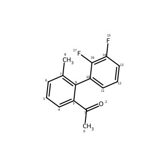 CC(=O)c1cccc(C)c1-c1cccc(F)c1F